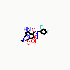 CCN1CC2C[C@H](NC)c3c(C(=O)NCc4ccc(F)cc4F)c(=O)c(O)c(n32)C1=O